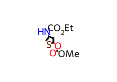 CCOC(=O)Nc1csc(OC(=O)OC)c1